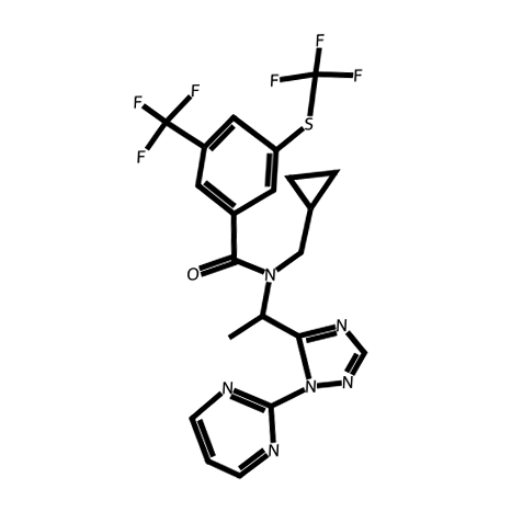 CC(c1ncnn1-c1ncccn1)N(CC1CC1)C(=O)c1cc(SC(F)(F)F)cc(C(F)(F)F)c1